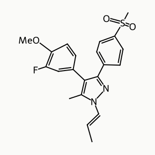 CC=Cn1nc(-c2ccc(S(C)(=O)=O)cc2)c(-c2ccc(OC)c(F)c2)c1C